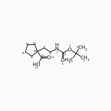 CC(C)(C)OC(=O)NCCC1(C(=O)O)CCCC1